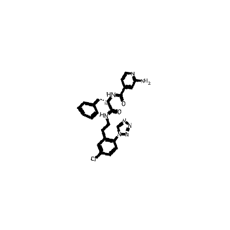 Nc1cc(C(=O)N[C@@H](Cc2ccccc2)C(=O)NCCc2cc(Cl)ccc2-n2cnnn2)ccn1